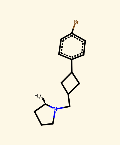 C[C@@H]1CCCN1CC1CC(c2ccc(Br)cc2)C1